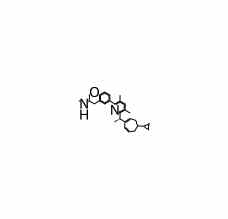 CNC1COc2ccc(-c3nc([C@H](C)C4=CCC(C5CC5)CC=C4)c(C)cc3C)cc2C1